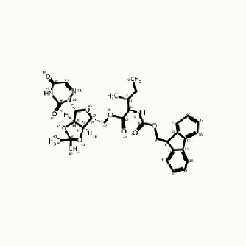 CC[C@H](C)[C@@H](NC(=O)OCC1c2ccccc2-c2ccccc21)C(=O)OC[C@H]1O[C@@H](n2ncc(=O)[nH]c2=O)[C@@H]2OC(C)(C)O[C@@H]21